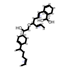 C/C=C\CCC(C)C1=CC[C@@H](C(O)COC(/C=C/C)C/C=C/C2=C(C(O)O)CCC=C2)CC1